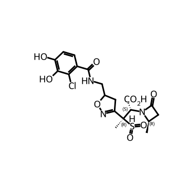 C[C@@H]1CC(=O)N1[C@@H](C(=O)O)[C@](C)(C1=NOC(CNC(=O)c2ccc(O)c(O)c2Cl)C1)[SH](=O)=O